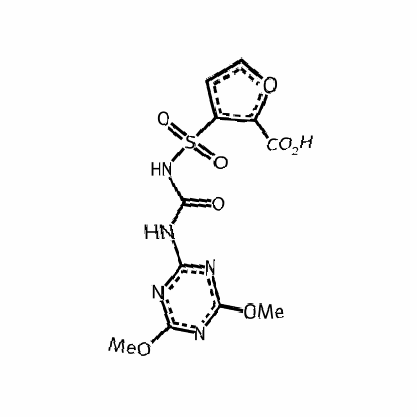 COc1nc(NC(=O)NS(=O)(=O)c2ccoc2C(=O)O)nc(OC)n1